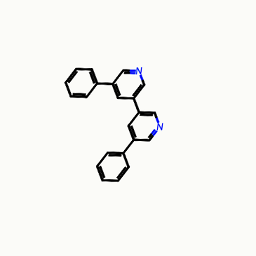 c1ccc(-c2cncc(-c3cncc(-c4ccccc4)c3)c2)cc1